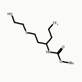 CC(C)(C)OC(=O)NC(CCSCCO)CCC(F)(F)F